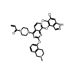 C=CC(=O)N1CCN(c2nc(Oc3cccc4c3CCN(C)C4)nc3c(Oc4c(Cl)c(Cl)cc5[nH]ncc45)nccc23)CC1